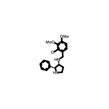 COc1ccc(CN[C@H]2CCN[C@H]2c2ccccc2)c(Cl)c1OC